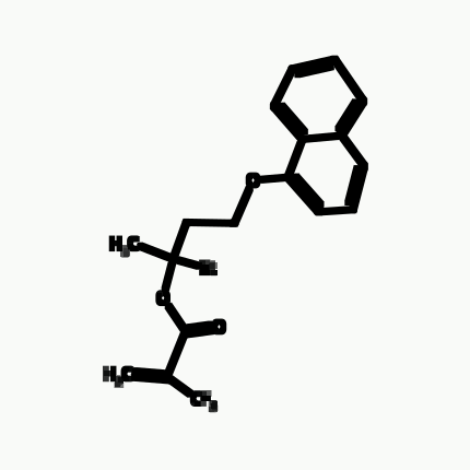 C=C(C(=O)OC(C)(CC)CCOc1cccc2ccccc12)C(F)(F)F